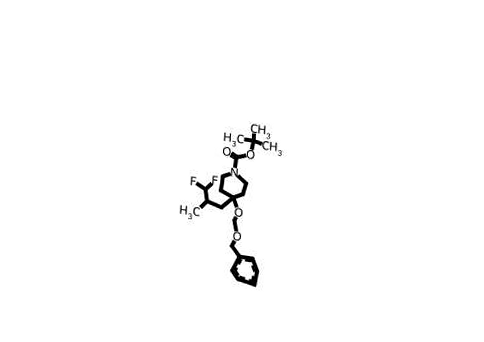 CC(CC1(OCOCc2ccccc2)CCN(C(=O)OC(C)(C)C)CC1)C(F)F